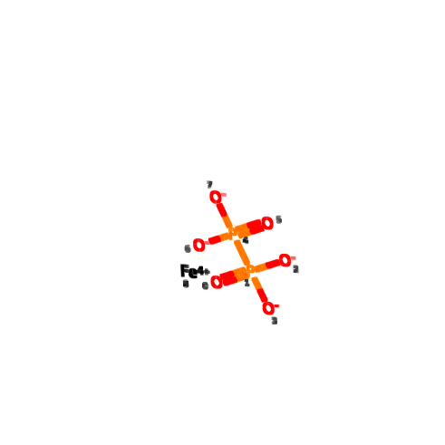 O=P([O-])([O-])P(=O)([O-])[O-].[Fe+4]